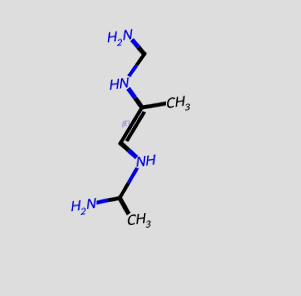 C/C(=C\NC(C)N)NCN